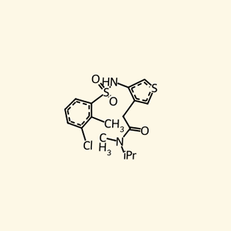 Cc1c(Cl)cccc1S(=O)(=O)Nc1cscc1CC(=O)N(C)C(C)C